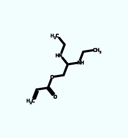 C=CC(=O)OCC(NCC)NCC